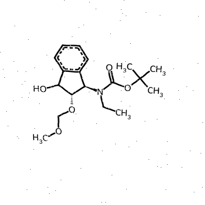 CCN(C(=O)OC(C)(C)C)[C@@H]1c2ccccc2C(O)[C@H]1OCOC